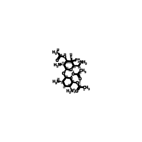 CC(=O)O[C@@H]1[C@@H](OC(C)=O)[C@H](N)C[C@H](N)[C@H]1O[C@H]1O[C@H](CN)C(F)(F)[C@H](OC(C)=O)[C@H]1N